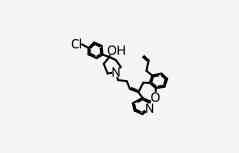 C=CCc1cccc2c1CC(=CCCN1CCC(O)(c3ccc(Cl)cc3)CC1)c1cccnc1O2